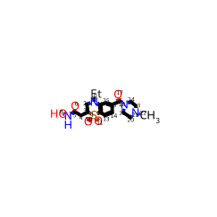 CCN1CC(CC(=O)NO)S(=O)(=O)c2ccc(C(=O)N3CCN(C)CC3)cc21